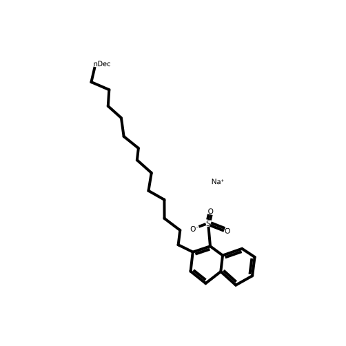 CCCCCCCCCCCCCCCCCCCCCCCc1ccc2ccccc2c1S(=O)(=O)[O-].[Na+]